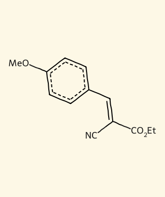 CCOC(=O)C(C#N)=Cc1ccc(OC)cc1